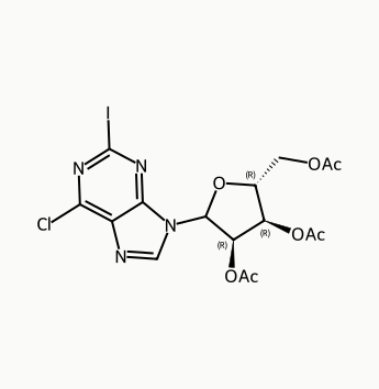 CC(=O)OC[C@H]1OC(n2cnc3c(Cl)nc(I)nc32)[C@H](OC(C)=O)[C@@H]1OC(C)=O